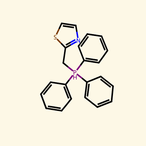 c1ccc([PH](Cc2nccs2)(c2ccccc2)c2ccccc2)cc1